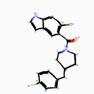 O=C(c1cc2cc[nH]c2cc1Cl)N1CCC(Cc2ccc(F)cc2)CC1